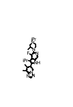 Cc1c(-c2[nH]c3cnc(N4CCN(C(C)C)CC4C)c(F)c3c2C(C)C)cn2ncnc2c1C